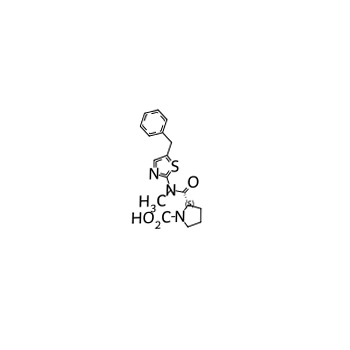 CN(C(=O)[C@@H]1CCCN1C(=O)O)c1ncc(Cc2ccccc2)s1